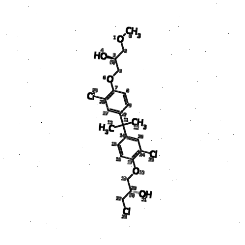 COC[C@H](O)COc1ccc(C(C)(C)c2ccc(OC[C@H](O)CCl)c(Cl)c2)cc1Cl